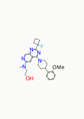 COc1ccccc1C1CCN(c2nc(C3(F)CCC3)nc3cnc(N(C)CCO)cc23)CC1